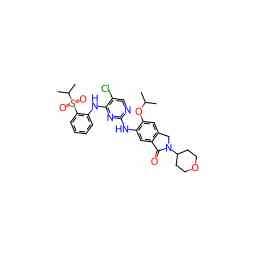 CC(C)Oc1cc2c(cc1Nc1ncc(Cl)c(Nc3ccccc3S(=O)(=O)C(C)C)n1)C(=O)N(C1CCOCC1)C2